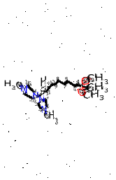 CO[Si](C)(CCCCCCCC[SiH2]C(N1CCN(C)CC1)N1CCN(C)CC1)OC